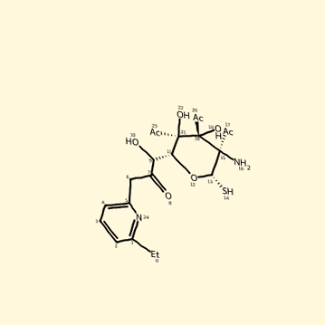 CCc1cccc(CC(=O)C(O)[C@H]2O[C@@H](S)[C@@](N)(C(C)=O)[C@](O)(C(C)=O)[C@@]2(O)C(C)=O)n1